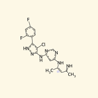 CC(=N)/C=C(/C)Nc1cc(Nc2n[nH]c(-c3ccc(F)cc3F)c2Cl)ncn1